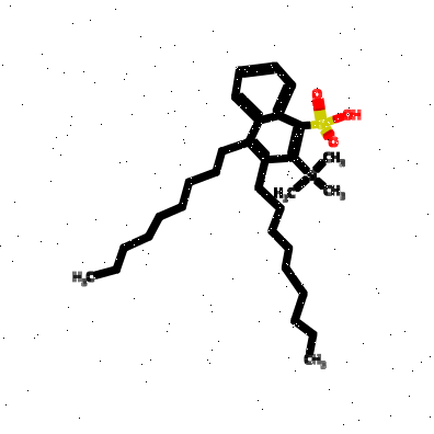 CCCCCCCCCc1c([Si](C)(C)C)c(S(=O)(=O)O)c2ccccc2c1CCCCCCCCC